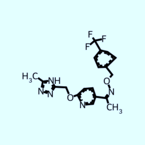 CC(=NOCc1ccc(C(F)(F)F)cc1)c1ccc(OCc2nnc(C)[nH]2)nc1